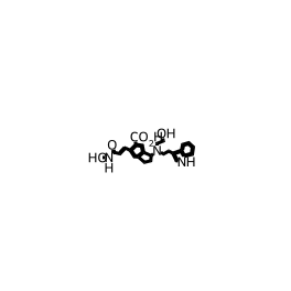 O=C(/C=C/c1cc2c(cc1C(=O)O)C(N(CCO)CCc1c[nH]c3ccccc13)CC2)NO